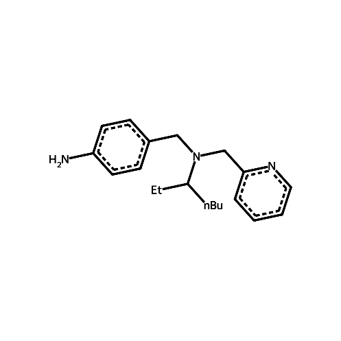 CCCCC(CC)N(Cc1ccc(N)cc1)Cc1ccccn1